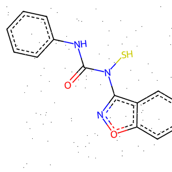 O=C(Nc1ccccc1)N(S)c1noc2ccccc12